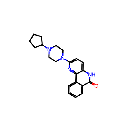 O=c1[nH]c2ccc(N3CCN(C4CCCC4)CC3)nc2c2ccccc12